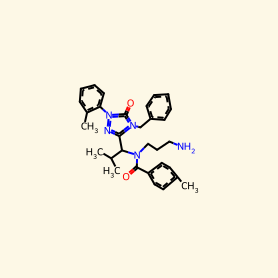 Cc1ccc(C(=O)N(CCCN)C(c2nn(-c3ccccc3C)c(=O)n2Cc2ccccc2)C(C)C)cc1